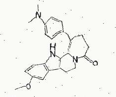 COc1ccc2[nH]c3c(c2c1)CCN1C(=O)CCC(c2ccc(N(C)C)cc2)=C31